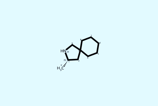 C[C@H]1CC2(CCCCC2)CN1